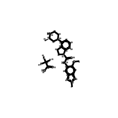 COc1cc2nn(C)nc2cc1NC(=O)N1CCc2c(N3CCN[C@@H](C)C3)ccnc21.O=C(O)C(F)(F)F